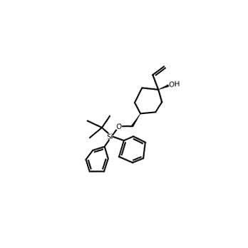 C=C[C@]1(O)CC[C@@H](CO[Si](c2ccccc2)(c2ccccc2)C(C)(C)C)CC1